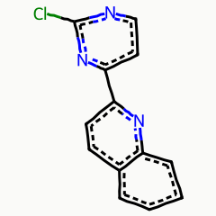 Clc1nccc(-c2ccc3ccccc3n2)n1